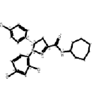 O=C(NC1CCCCCC1)C1=NN(c2ccc(Cl)cc2Cl)[C@H](c2ccc(Cl)cc2)C1